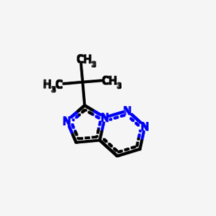 CC(C)(C)c1ncc2ccnnn12